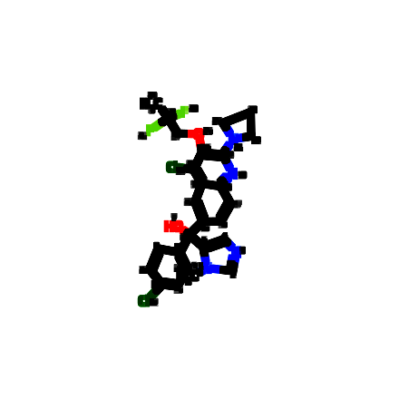 Cn1cncc1C(O)(c1ccc(Cl)cc1)c1ccc2nc(N3CCC3)c(OCC(C)(F)F)c(Cl)c2c1